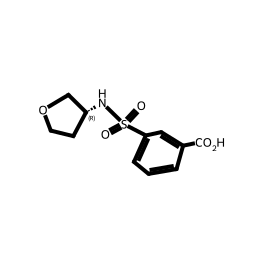 O=C(O)c1cccc(S(=O)(=O)N[C@@H]2CCOC2)c1